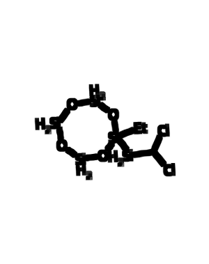 CC[Si]1([SiH2]C(Cl)Cl)O[SiH2]O[SiH2]O[SiH2]O1